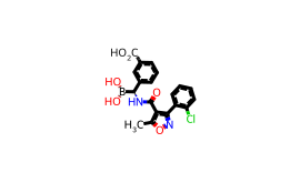 Cc1onc(-c2ccccc2Cl)c1C(=O)N[C@H](B(O)O)c1cccc(C(=O)O)c1